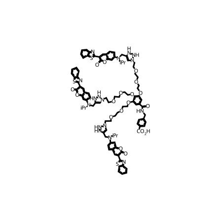 CC(C)N(CC1=CN(CCOCCOCCOc2cc(C(=O)NCc3ccc(C(=O)O)cc3)cc(OCCOCCOCCN3C=C(CN(c4ccc5cc(-c6nc7ccccc7s6)c(=O)oc5c4)C(C)C)NN3)c2OCCOCCOCCN2C=C(CN(c3ccc4cc(-c5nc6ccccc6s5)c(=O)oc4c3)C(C)C)NN2)NN1)c1ccc2cc(-c3nc4ccccc4s3)c(=O)oc2c1